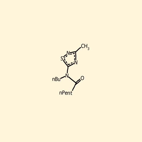 CCCCCC(=O)N(CCCC)c1nc(C)ns1